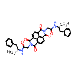 O=C(CN1C(=O)c2ccc3c4c(ccc(c24)C1=O)C(=O)N(CC(=O)N[C@@H](Cc1ccccc1)C(=O)O)C3=O)N[C@@H](Cc1ccccc1)C(=O)O